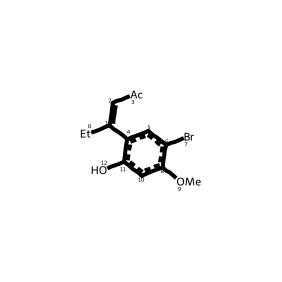 CC/C(=C/C(C)=O)c1cc(Br)c(OC)cc1O